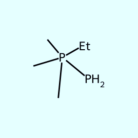 CCP(C)(C)(C)P